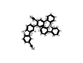 N#Cc1ccc2sc3ccc(-c4ccc(-c5ccccc5-n5c6ccccc6c6ccccc65)cc4C#N)cc3c2c1